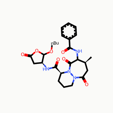 CCCCOC1OC(=O)C[C@@H]1NC(=O)[C@@H]1CCCN2C(=O)C[C@H](C)C(NC(=O)c3ccccc3)C(=O)N12